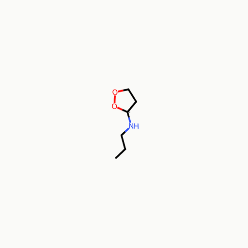 CCCN[C]1CCOO1